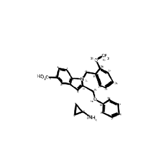 NC1CC1.O=C(O)c1ccc2c(c1)cc(COc1ccccc1)n2Cc1ccccc1OC(F)(F)F